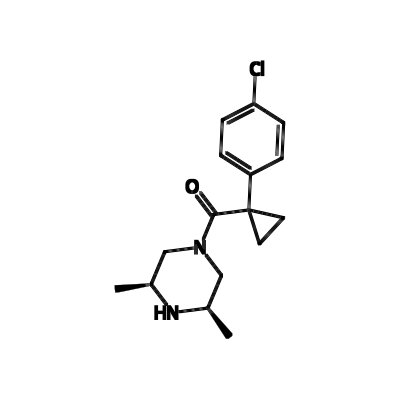 C[C@@H]1CN(C(=O)C2(c3ccc(Cl)cc3)CC2)C[C@H](C)N1